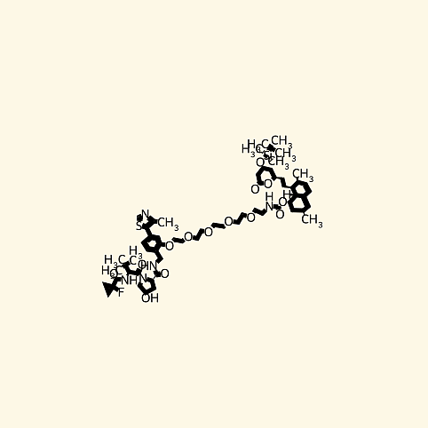 Cc1ncsc1-c1ccc(CNC(=O)[C@@H]2C[C@@H](O)CN2C(=O)[C@@H](NC(=O)C2(F)CC2)C(C)(C)C)c(OCCOCCOCCOCCOCCNC(=O)O[C@H]2C[C@@H](C)C=C3C=C[C@H](C)[C@H](CC[C@@H]4C[C@@H](O[Si](C)(C)C(C)(C)C)CC(=O)O4)[C@H]32)c1